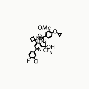 COc1cc(C(=O)NCC(O)(c2cc(C3(N)CCC3)cc(-c3ccc(F)c(Cl)c3)n2)C(F)(F)F)ccc1OC1CC1